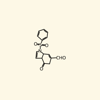 O=CC1=CC2C(C=CN2S(=O)(=O)c2ccccc2)C(=O)C1